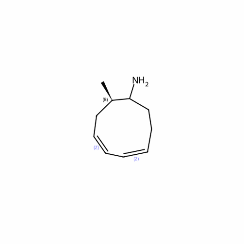 C[C@@H]1C/C=C\C=C/CCC1N